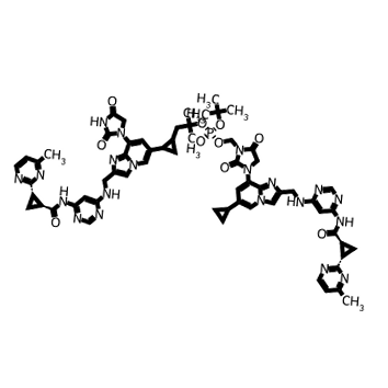 Cc1ccnc([C@H]2C[C@@H]2C(=O)Nc2cc(NCc3cn4cc(C5CC5CC(C)(C)OP(=O)(OCN5C(=O)CN(c6cc(C7CC7)cn7cc(CNc8cc(NC(=O)[C@H]9C[C@@H]9c9nccc(C)n9)ncn8)nc67)C5=O)OC(C)(C)C)cc(N5CC(=O)NC5=O)c4n3)ncn2)n1